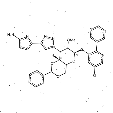 COC1C(n2cc(-c3csc(N)n3)nn2)[C@H]2OC(c3ccccc3)OCC2O[C@@H]1Sc1cc(Cl)cnc1-c1cccnc1